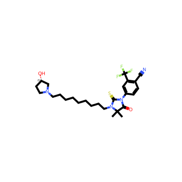 CC1(C)C(=O)N(c2ccc(C#N)c(C(F)(F)F)c2)C(=S)N1CCCCCCCCCN1CC[C@H](O)C1